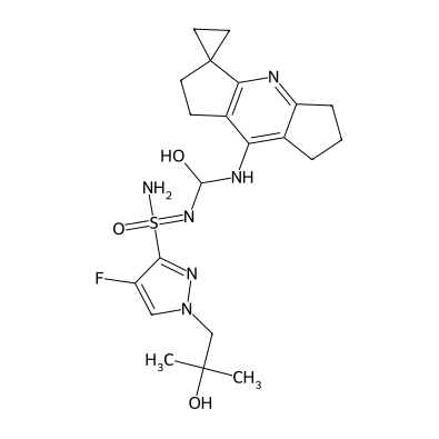 CC(C)(O)Cn1cc(F)c(S(N)(=O)=NC(O)Nc2c3c(nc4c2CCC42CC2)CCC3)n1